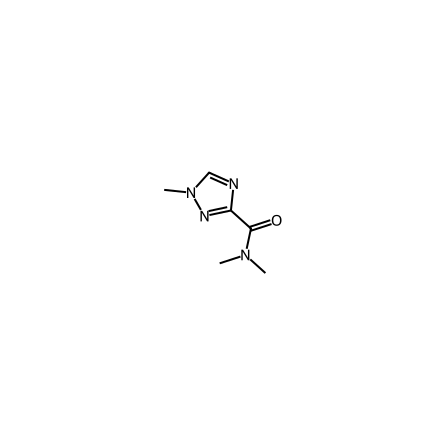 CN(C)C(=O)c1ncn(C)n1